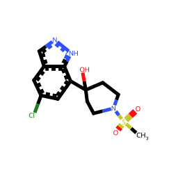 CS(=O)(=O)N1CCC(O)(c2cc(Cl)cc3cn[nH]c23)CC1